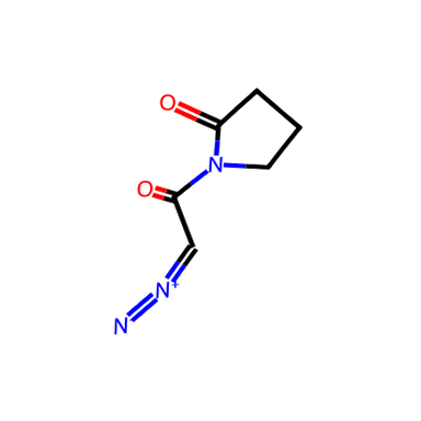 [N-]=[N+]=CC(=O)N1CCCC1=O